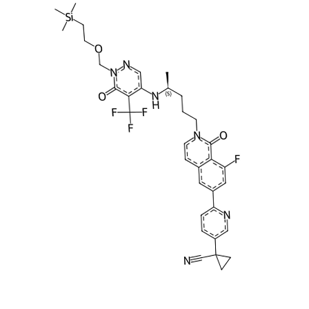 C[C@@H](CCCn1ccc2cc(-c3ccc(C4(C#N)CC4)cn3)cc(F)c2c1=O)Nc1cnn(COCC[Si](C)(C)C)c(=O)c1C(F)(F)F